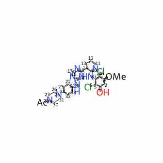 COc1cc(O)c(Cl)c(Nc2ncccc2-c2ncnc(Nc3ccc(N4CCN(C(C)=O)CC4)cc3)n2)c1Cl